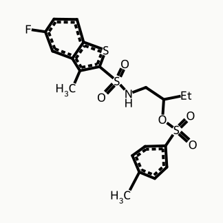 CCC(CNS(=O)(=O)c1sc2ccc(F)cc2c1C)OS(=O)(=O)c1ccc(C)cc1